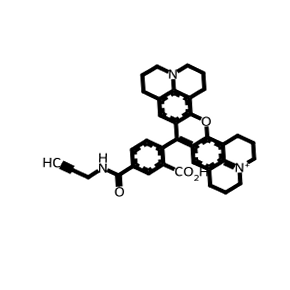 C#CCNC(=O)c1ccc(C2=c3cc4c5c(c3Oc3c2cc2c6c3CCCN6CCC2)CCC[N+]=5CCC4)c(C(=O)O)c1